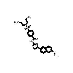 CCCN(CCC)S(=O)(=O)c1ccc(C(=O)NC2=NC(c3ccc4cc(OC)ccc4c3)CS2)cc1